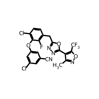 Cc1noc(C(F)(F)F)c1-c1nnc(Cc2ccc(Cl)c(Oc3cc(Cl)cc(C#N)c3)c2F)o1